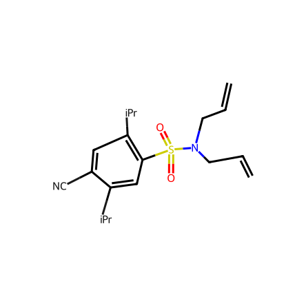 C=CCN(CC=C)S(=O)(=O)c1cc(C(C)C)c(C#N)cc1C(C)C